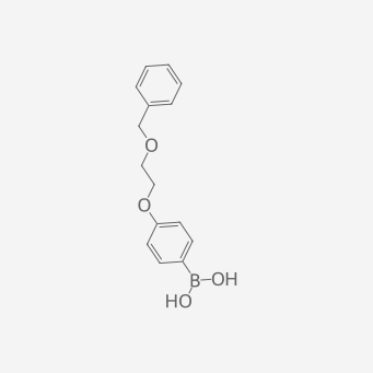 OB(O)c1ccc(OCCOCc2ccccc2)cc1